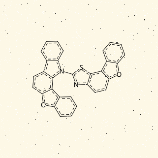 c1ccc2c(c1)oc1ccc3nc(-n4c5ccccc5c5ccc6oc7ccccc7c6c54)sc3c12